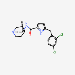 O=C(N[C@H]1CN2CCC1CC2)c1ccc(Cc2ccc(Cl)cc2Cl)[nH]1